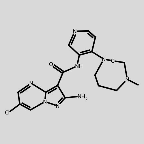 CN1CCCN(c2ccncc2NC(=O)c2c(N)nn3cc(Cl)cnc23)CC1